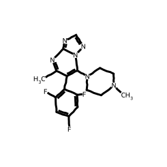 Cc1nc2ncnn2c(N2CCN(C)CC2)c1-c1c(F)cc(F)cc1F